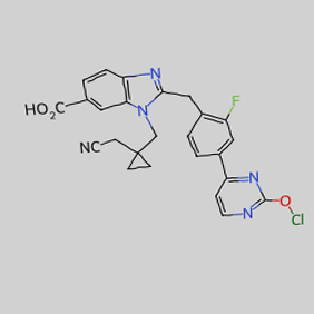 N#CCC1(Cn2c(Cc3ccc(-c4ccnc(OCl)n4)cc3F)nc3ccc(C(=O)O)cc32)CC1